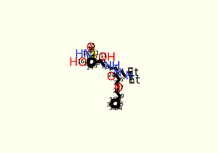 CCN(CC)CCN(CCNC[C@@H](O)c1ccc(O)c2[nH]c(=O)sc12)C(=O)CCOCCc1ccccc1